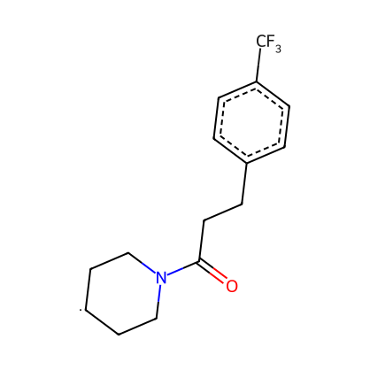 O=C(CCc1ccc(C(F)(F)F)cc1)N1CC[CH]CC1